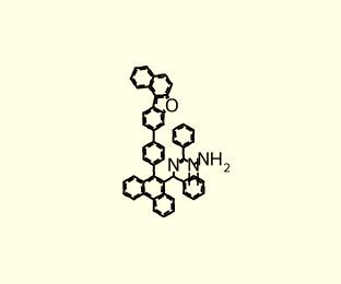 NN/C(=N\C(c1ccccc1)c1c(-c2ccc(-c3ccc4c(c3)oc3ccc5ccccc5c34)cc2)c2ccccc2c2ccccc12)c1ccccc1